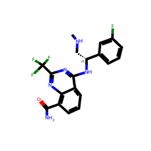 CNC[C@@H](Nc1nc(C(F)(F)F)nc2c(C(N)=O)cccc12)c1cccc(F)c1